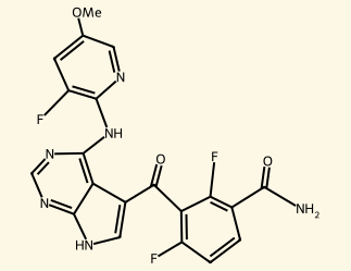 COc1cnc(Nc2ncnc3[nH]cc(C(=O)c4c(F)ccc(C(N)=O)c4F)c23)c(F)c1